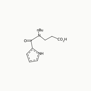 CCCCN(CCC(=O)O)C(=O)c1ccc[nH]1